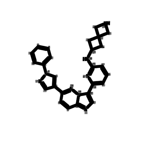 c1ccc(-n2cc(-c3ccc4ncc(-c5cccc(NC6CC7(CNC7)C6)n5)n4n3)cn2)cc1